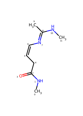 CNC(=O)C/C=C\N=C(/C)NC